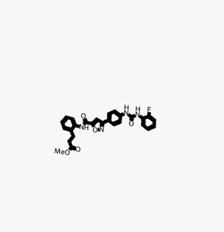 COC(=O)CCc1ccccc1NC(=O)c1cc(-c2ccc(NC(=O)Nc3ccccc3F)cc2)no1